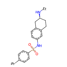 CCN[C@H]1CCc2cc(NS(=O)(=O)c3ccc(C(C)C)cc3)ccc2C1